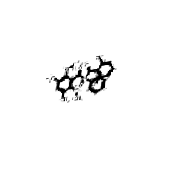 COc1c(C)cc(C)c(OC)c1C(=O)P(=O)(C(=O)c1c(Cl)cccc1Cl)c1ccccc1